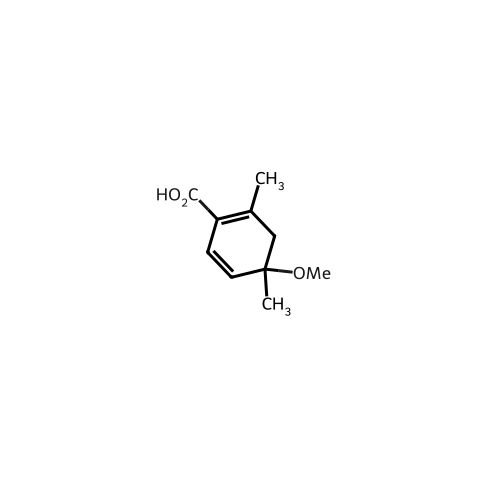 COC1(C)C=CC(C(=O)O)=C(C)C1